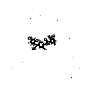 COc1ccc(C)cc1C(=O)Nc1cc(Cl)c(C(C#N)c2ccc(Cl)cc2)cc1C